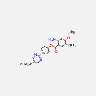 CCCCCCCc1cnc(-c2ccc(OC(=O)c3cc([N+](=O)[O-])c(OC[C@@H](C)CC)cc3N)cc2)nc1